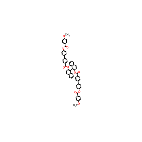 COc1ccc(C(=O)Oc2ccc(-c3ccc(C(=O)Oc4ccc5ccccc5c4-c4c(OC(=O)c5ccc(-c6ccc(OC(=O)c7ccc(OC)cc7)cc6)cc5)ccc5ccccc45)cc3)cc2)cc1